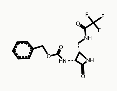 O=C(N[C@H]1C(=O)N[C@H]1CNC(=O)C(F)(F)F)OCc1ccccc1